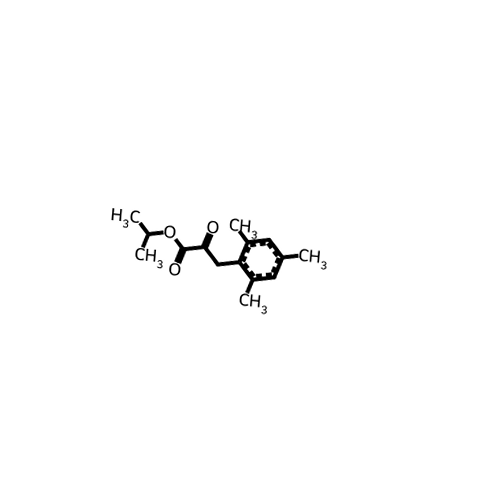 Cc1cc(C)c(CC(=O)C(=O)OC(C)C)c(C)c1